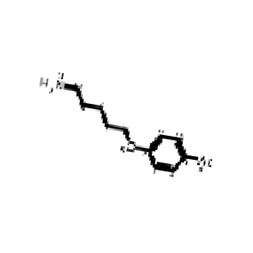 CC(=O)c1ccc(OCCCCCN)cc1